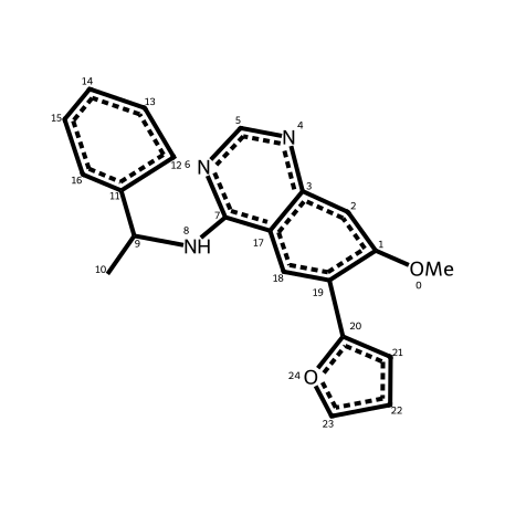 COc1cc2ncnc(NC(C)c3ccccc3)c2cc1-c1ccco1